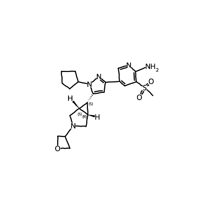 CS(=O)(=O)c1cc(-c2cc([C@@H]3[C@@H]4CN(C5COC5)C[C@@H]43)n(C3CCCC3)n2)cnc1N